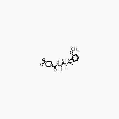 COc1cccc2nc(NC(=S)NNC(=O)N3CCS(=O)(=O)CC3)[nH]c12